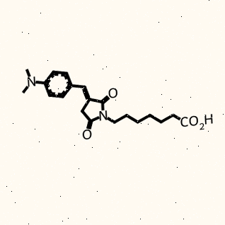 CN(C)c1ccc(/C=C2\CC(=O)N(CCCCCCC(=O)O)C2=O)cc1